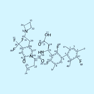 Cc1cc(C)c(-c2cc(C)c(F)c([C@H](CC(=O)O)NC(=O)C(CC(C)C)n3cc(CCN4CCC4)c(C(F)(F)F)cc3=O)c2F)c(C)c1F